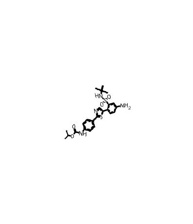 CC(C)OC(=O)Nc1ccc(-c2ncc(-c3ccc(N)cc3S(=O)(=O)NC(C)(C)C)s2)cc1